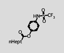 CCCCCCCC(=O)Oc1ccc(NS(=O)(=O)C(F)(F)F)cc1